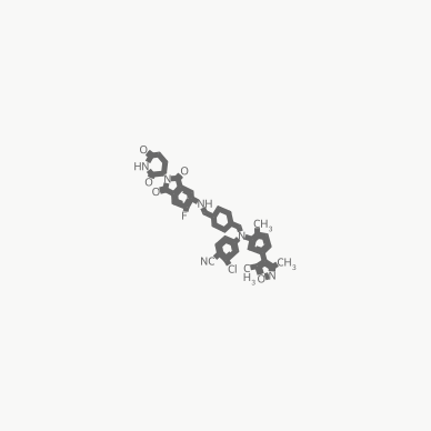 Cc1ccc(-c2c(C)noc2C)cc1N(CC1CCC(CNc2cc3c(cc2F)C(=O)N(C2CCC(=O)NC2=O)C3=O)CC1)c1ccc(C#N)c(Cl)c1